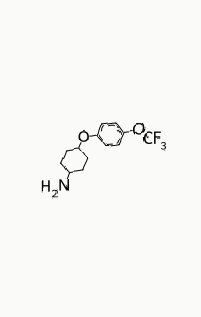 NC1CCC(Oc2ccc(OC(F)(F)F)cc2)CC1